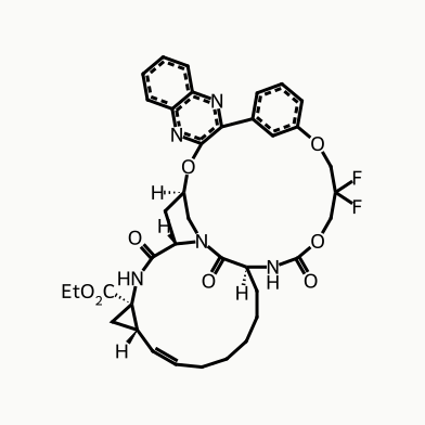 CCOC(=O)[C@@]12C[C@H]1/C=C\CCCCC[C@@H]1NC(=O)OCC(F)(F)COc3cccc(c3)-c3nc4ccccc4nc3O[C@@H]3C[C@@H](C(=O)N2)N(C3)C1=O